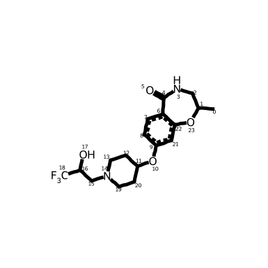 CC1CNC(=O)c2ccc(OC3CCN(CC(O)C(F)(F)F)CC3)cc2O1